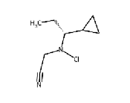 CC[C@H](C1CC1)N(Cl)CC#N